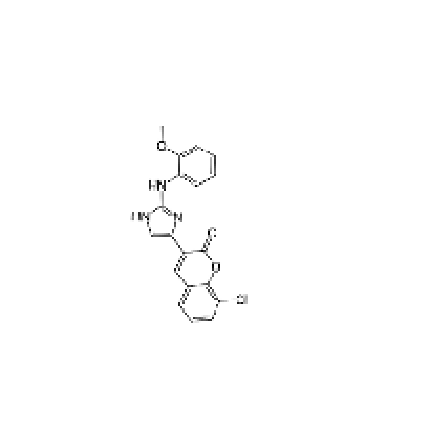 COc1ccccc1Nc1nc(-c2cc3cccc(Cl)c3oc2=O)c[nH]1